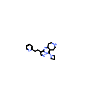 c1ccc(CCc2cnn3c(N4CCC4)c4c(nc23)CCNCC4)nc1